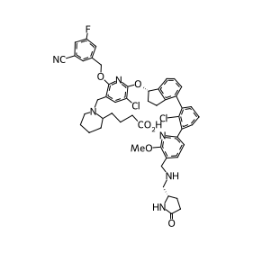 COc1nc(-c2cccc(-c3cccc4c3CC[C@@H]4Oc3nc(OCc4cc(F)cc(C#N)c4)c(CN4CCCCC4CCCC(=O)O)cc3Cl)c2Cl)ccc1CNC[C@@H]1CCC(=O)N1